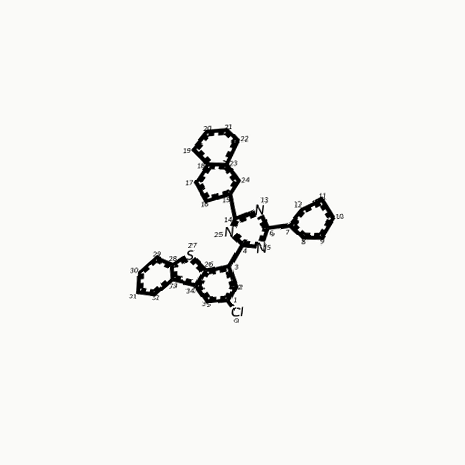 Clc1cc(-c2nc(-c3ccccc3)nc(-c3ccc4ccccc4c3)n2)c2sc3ccccc3c2c1